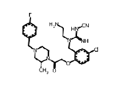 C[C@@H]1CN(Cc2ccc(F)cc2)CCN1C(=O)COc1ccc(Cl)cc1CN(CCN)C(=N)NC#N